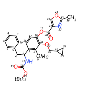 COc1c([C@H](Cc2ccccc2)NC(=O)OC(C)(C)C)ccc(OC(=O)c2coc(C)n2)c1OCC1CC1